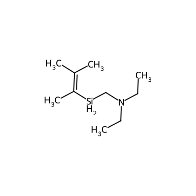 CCN(CC)C[SiH2]C(C)=C(C)C